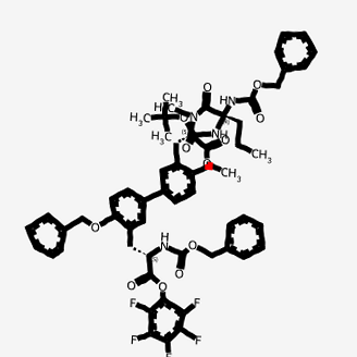 CCC[C@@](NC(=O)OCc1ccccc1)(NC(=O)OC(C)(C)C)C(=O)N(C)[C@@H](Cc1cc(-c2ccc(OCc3ccccc3)c(C[C@H](NC(=O)OCc3ccccc3)C(=O)Oc3c(F)c(F)c(F)c(F)c3F)c2)ccc1F)C(=O)OC